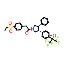 CCS(=O)(=O)c1ccc(CC(=O)N2C[C@@H](c3ccccc3)[C@H](c3ccc(C(O)(C(F)(F)F)C(F)(F)F)cc3)C2)cc1